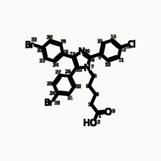 O=C(O)CCCCn1c(-c2ccc(Cl)cc2)nc(-c2ccc(Br)cc2)c1-c1ccc(Br)cc1